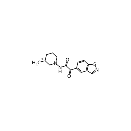 C[C@H]1CCCN(NC(=O)C(=O)c2ccc3sncc3c2)C1